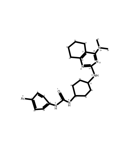 CC(=O)c1ccc(NC(=O)NC2CCC(Nc3nc4c(c(N(C)C)n3)CCCC4)CC2)cc1